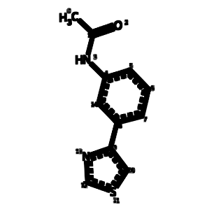 CC(=O)Nc1cccc(-c2cs[c]n2)c1